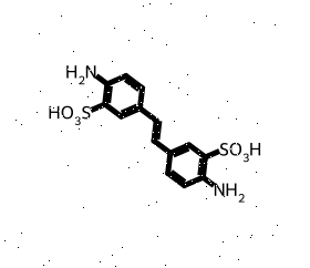 Nc1ccc(C=Cc2ccc(N)c(S(=O)(=O)O)c2)cc1S(=O)(=O)O